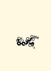 COC(=O)/C=C/C1C(Cl)N=C(CN2CCC(C3CCCC4O[C@@H](C)OC43)CC2)N1[C@H](C)[C@@H]1CCO1